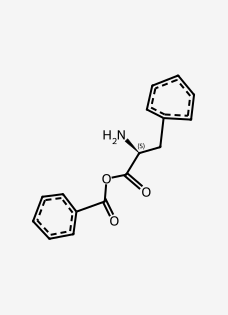 N[C@@H](Cc1ccccc1)C(=O)OC(=O)c1ccccc1